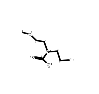 COCCN(CCF)C(=O)O